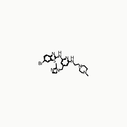 Cc1nccn1Cc1cc(NCCN2CCN(C)CC2)nc(Nc2nc3ccc(Br)cc3s2)c1